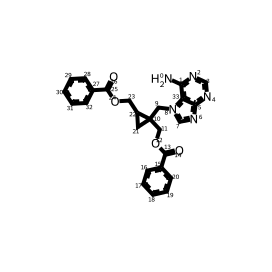 Nc1ncnc2ncn(CC3(COC(=O)c4ccccc4)CC3COC(=O)c3ccccc3)c12